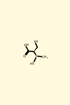 CN(S)[C@H](CS)C(=O)O